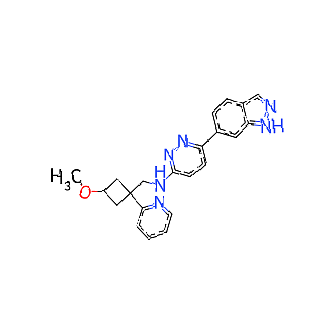 COC1CC(CNc2ccc(-c3ccc4cn[nH]c4c3)nn2)(c2ccccn2)C1